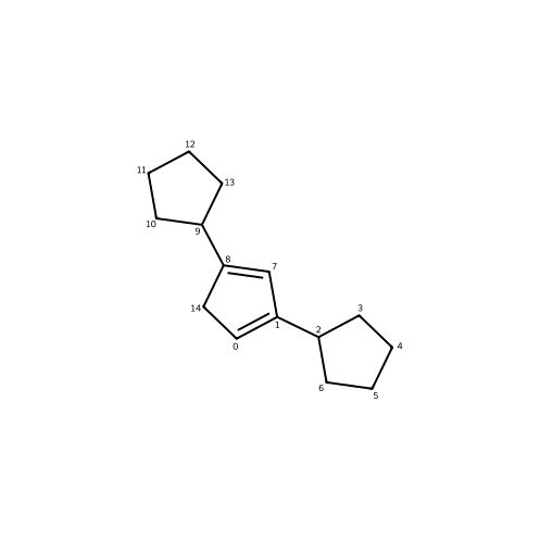 C1=C(C2CCCC2)C=C(C2CCCC2)C1